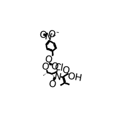 CC(C)=C(C(=O)O)N1C(=O)[C@H]([C@H](C)OC(=O)OCc2ccc([N+](=O)[O-])cc2)[C@H]1Cl